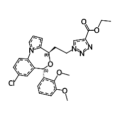 CCOC(=O)c1cn(CC[C@H]2O[C@H](c3cccc(OC)c3OC)c3cc(Cl)ccc3-n3cccc32)nn1